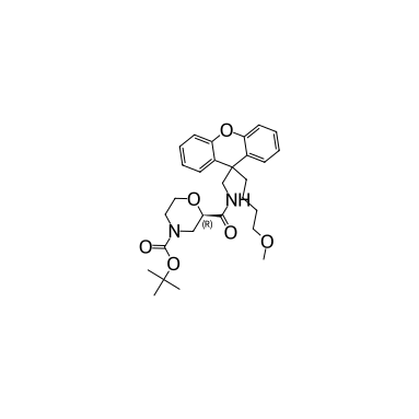 COCCCCC1(CNC(=O)[C@H]2CN(C(=O)OC(C)(C)C)CCO2)c2ccccc2Oc2ccccc21